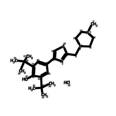 CN1CCN(Cc2nc(-c3cc(C(C)(C)C)c(O)c(C(C)(C)C)c3)cs2)CC1.Cl